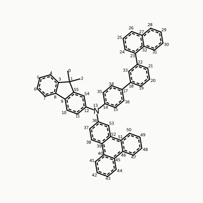 CC1(C)c2ccccc2-c2ccc(N(c3ccc(-c4cccc(-c5cccc6ccccc56)c4)cc3)c3ccc4c5ccccc5c5ccccc5c4c3)cc21